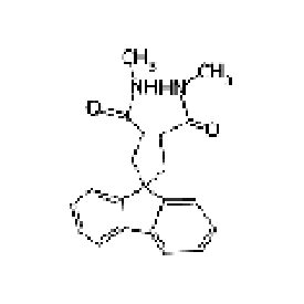 CNC(=O)CCC1(CCC(=O)NC)c2ccccc2-c2ccccc21